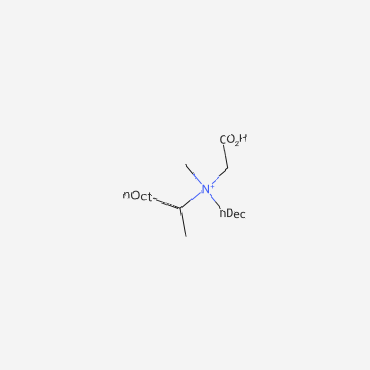 CCCCCCCCCC[N+](C)(CC(=O)O)C(C)CCCCCCCC